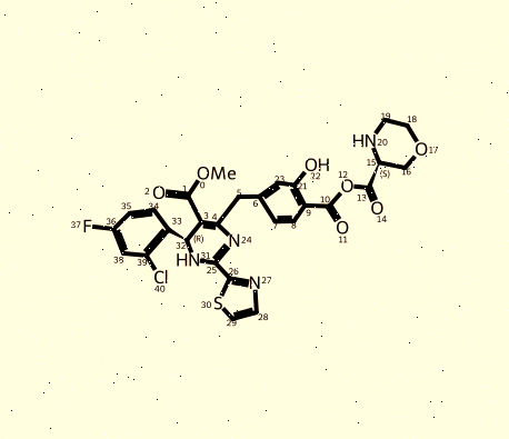 COC(=O)C1=C(Cc2ccc(C(=O)OC(=O)[C@@H]3COCCN3)c(O)c2)N=C(c2nccs2)N[C@H]1c1ccc(F)cc1Cl